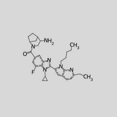 CCCCCn1c(-c2nc3cc(C(=O)N4CC(N)C5CCC4C5)cc(F)c3n2C2CC2)cc2ccc(CC)nc21